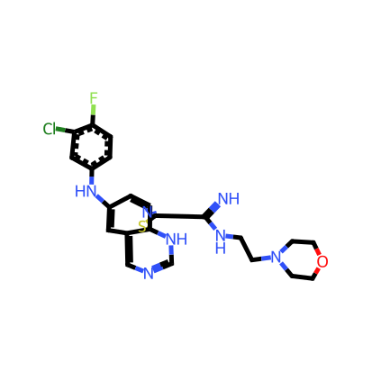 N=C(NCCN1CCOCC1)C1=NC2=CC(Nc3ccc(F)c(Cl)c3)=CC3=CN=CNC32S1